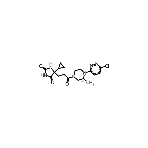 C[C@H]1CN(C(=O)CCC2(C3CC3)NC(=O)NC2=O)CCN1c1ccc(Cl)nn1